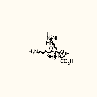 N=C(N)NCCC[C@H](NC(=O)[C@@H](N)CCCCN)C(=O)N[C@@H](CO)C(=O)O